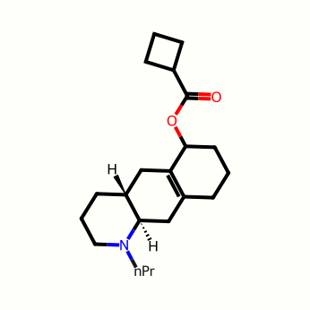 CCCN1CCC[C@@H]2CC3=C(CCCC3OC(=O)C3CCC3)C[C@H]21